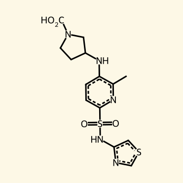 Cc1nc(S(=O)(=O)Nc2cscn2)ccc1NC1CCN(C(=O)O)C1